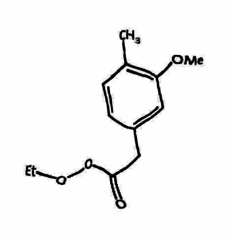 CCOOC(=O)Cc1ccc(C)c(OC)c1